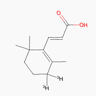 [2H]C1([2H])CCC(C)(C)C(C=CC(=O)O)=C1C